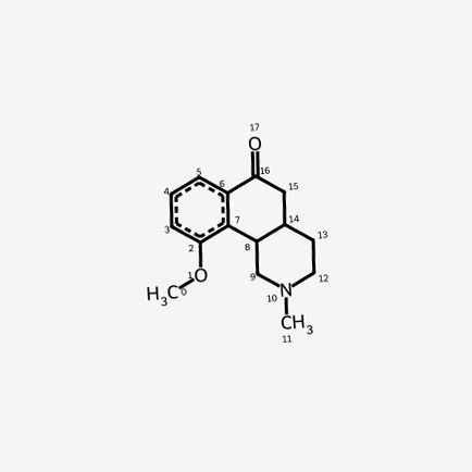 COc1cccc2c1C1CN(C)CCC1CC2=O